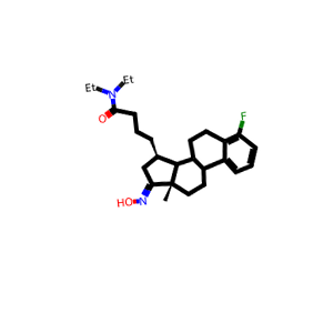 CCN(CC)C(=O)CCC[C@@H]1C/C(=N\O)[C@@]2(C)CCC3c4cccc(F)c4CCC3C12